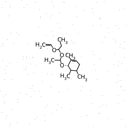 C=COC(CC)OC(C)O[C@@H]1C(C)=CCC(C)C1C